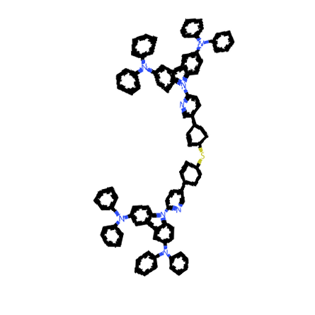 C1=CC(c2ccc(-n3c4ccc(N(c5ccccc5)c5ccccc5)cc4c4cc(N(c5ccccc5)c5ccccc5)ccc43)nc2)CCC1SC1C=CC(c2ccc(-n3c4ccc(N(c5ccccc5)c5ccccc5)cc4c4cc(N(c5ccccc5)c5ccccc5)ccc43)nc2)CC1